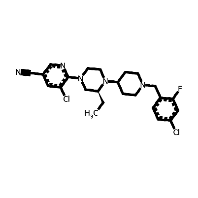 CC[C@H]1CN(c2ncc(C#N)cc2Cl)CCN1C1CCN(Cc2ccc(Cl)cc2F)CC1